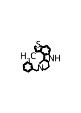 Cc1csc2ccc3[nH]c4c(c3c12)CN(Cc1ccccc1)CC4